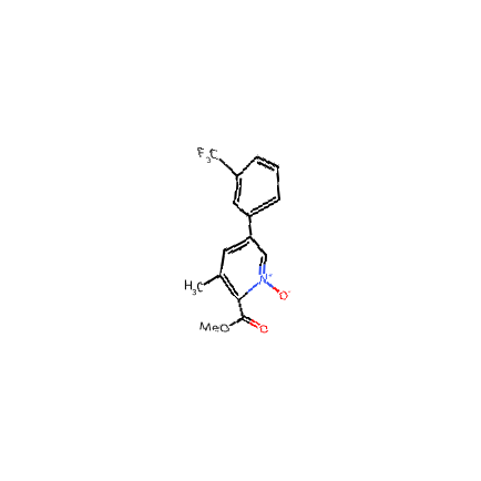 COC(=O)c1c(C)cc(-c2cccc(C(F)(F)F)c2)c[n+]1[O-]